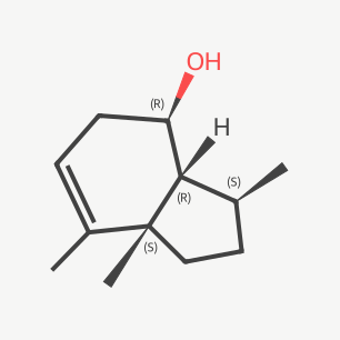 CC1=CC[C@@H](O)[C@@H]2[C@@H](C)CC[C@]12C